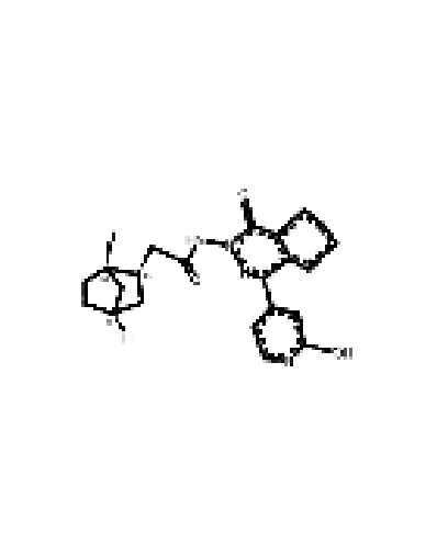 O=C(C[C@H]1C[C@@H]2CC[C@H]1C2)Nn1nc(-c2ccnc(O)c2)c2ccccc2c1=O